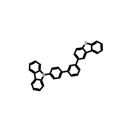 c1cc(-c2ccc(-n3c4ccccc4c4ccccc43)cc2)cc(-c2ccc3sc4ccccc4c3c2)c1